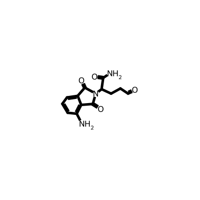 NC(=O)C(CCC=O)N1C(=O)c2cccc(N)c2C1=O